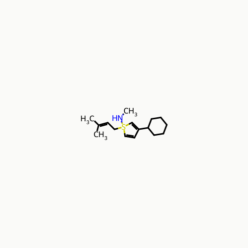 CNS1(CC=C(C)C)C=CC(C2CCCCC2)=C1